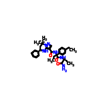 CCc1ccc(C(CC)(NC(=O)c2cnn3c2N[C@@H](c2ccccc2)CC3(C)C)C(=O)N[C@@H](CC)C(N)=O)cc1